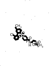 C=Cc1ccc(S(=O)(=O)N2CCC(F)(C(=O)N[C@H](C)/C=C\S(C)(=O)=O)CC2)c(-c2ccccc2Cl)c1